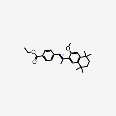 CCOC(=O)c1ccc(/C=C(\C)c2cc3c(cc2OC)C(C)(C)CCC3(C)C)cc1